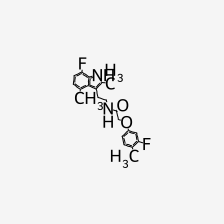 Cc1ccc(OCC(=O)NCCc2c(C)[nH]c3c(F)ccc(C)c23)cc1F